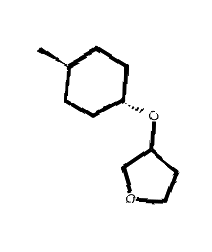 C[C@H]1CC[C@H](OC2CCOC2)CC1